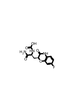 NC(=O)[C@H](C[C@@H]1Oc2cc(F)ccc2NC1=O)NC(=O)O